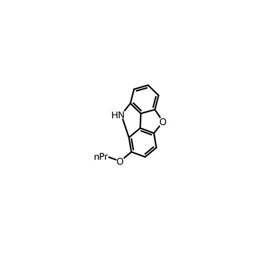 CCCOc1ccc2oc3cccc4[nH]c1c2c43